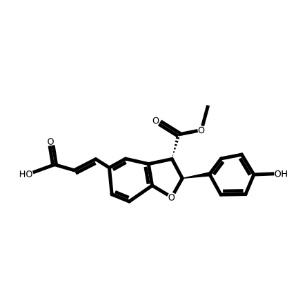 COC(=O)[C@H]1c2cc(/C=C/C(=O)O)ccc2O[C@@H]1c1ccc(O)cc1